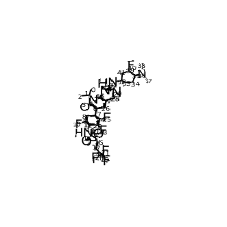 CC(C)n1c(=O)c(-c2cc(F)c(NS(=O)(=O)CCC(F)(F)F)c(F)c2F)cc2cnc(NC3CCC(N(C)C)C(F)C3)nc21